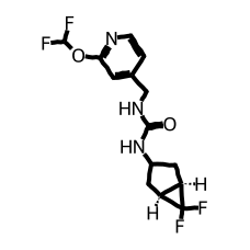 O=C(NCc1ccnc(OC(F)F)c1)NC1C[C@@H]2[C@H](C1)C2(F)F